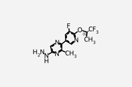 Cc1nc(NN)cnc1-c1cnc(O[C@@H](C)C(F)(F)F)c(F)c1